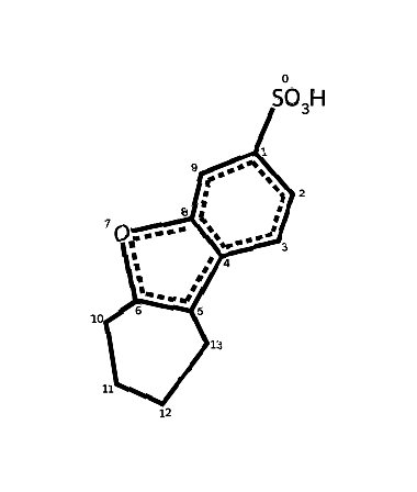 O=S(=O)(O)c1ccc2c3c(oc2c1)CCCC3